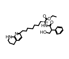 CCOC(=O)[C@H](CCCCCCCc1ccc2c(n1)NCCC2)NC(=O)C(CO)c1ccccc1